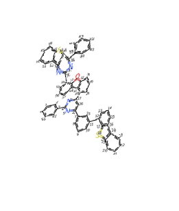 c1ccc(-c2nc(-c3cccc(-c4cccc5c4sc4ccccc45)c3)cc(-c3cccc4oc5c(-c6nc(-c7ccccc7)c7sc8ccccc8c7n6)cccc5c34)n2)cc1